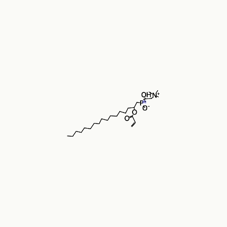 C=CC(=O)OC(CCCCCCCCCCCCCCC)C/[P+]([O-])=C(\O)C[N+](C)(C)C